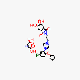 O=C(O)/C=C\C(=O)O.O=C1C2CC(O)C(O)CC2C(=O)N1CCCN1CCN(c2cc(F)ccc2OC2CCCC2)CC1